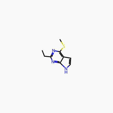 CCc1nc(SC)c2cc[nH]c2n1